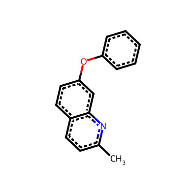 Cc1ccc2ccc(Oc3ccccc3)cc2n1